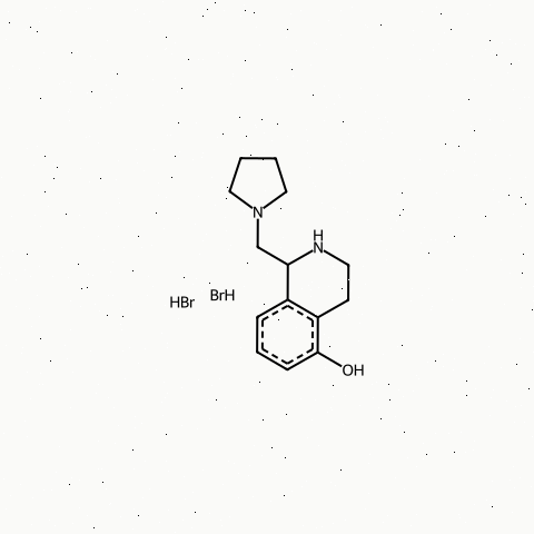 Br.Br.Oc1cccc2c1CCNC2CN1CCCC1